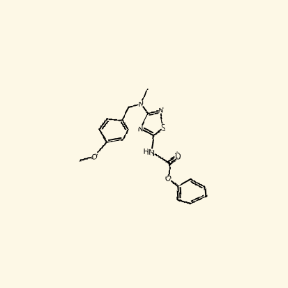 COc1ccc(CN(C)c2nsc(NC(=O)Oc3ccccc3)n2)cc1